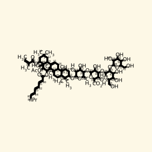 C/C=C(/C)C(=O)OC1CC(C)(C)CC2C3=CCC4C5(C)CCC(OC6OC(C)C(OC7OC(C(=O)O)C(O)C(OC8OC(CO)C(O)C(O)C8OC8OC(CO)C(O)C(O)C8O)C7O)C(O)C6O)C(C)(C)C5CCC4(C)C3(C)C(OC(=O)/C=C/C=C/C=C/CCC)C(OC(C)=O)C12CO